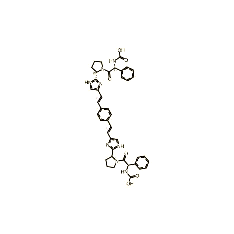 O=C(O)NC(C(=O)N1CCCC1c1nc(/C=C/c2ccc(/C=C/c3c[nH]c([C@@H]4CCCN4C(=O)[C@H](NC(=O)O)c4ccccc4)n3)cc2)c[nH]1)c1ccccc1